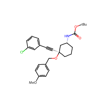 COc1ccc(CO[C@]2(C#Cc3cccc(Cl)c3)CCC[C@@H](NC(=O)OC(C)(C)C)C2)cc1